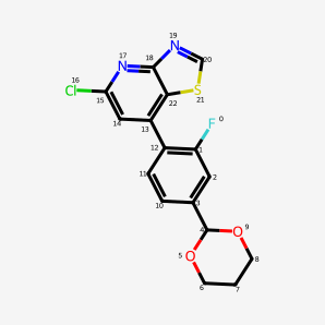 Fc1cc(C2OCCCO2)ccc1-c1cc(Cl)nc2ncsc12